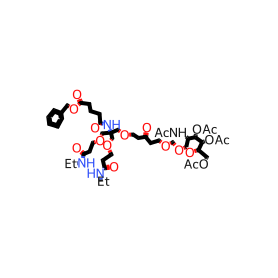 CCNC(=O)CCOCC(COCCC(=O)CCOCOC1OC(COC(C)=O)C(OC(C)=O)C(OC(C)=O)C1NC(C)=O)(COCCC(=O)NCC)NC(=O)CCCC(=O)OCc1ccccc1